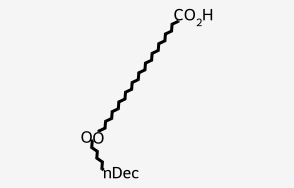 CCCCCCCCCCCCCCCC(=O)OCCCCCCCCCCCCCCCCCCCCCCCCC(=O)O